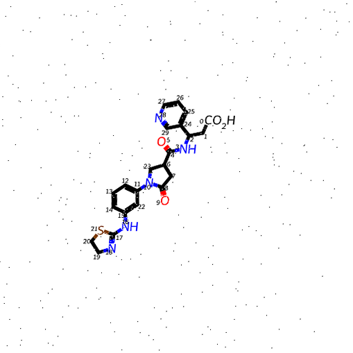 O=C(O)CC(NC(=O)C1CC(=O)N(c2cccc(NC3=NCCS3)c2)C1)c1cccnc1